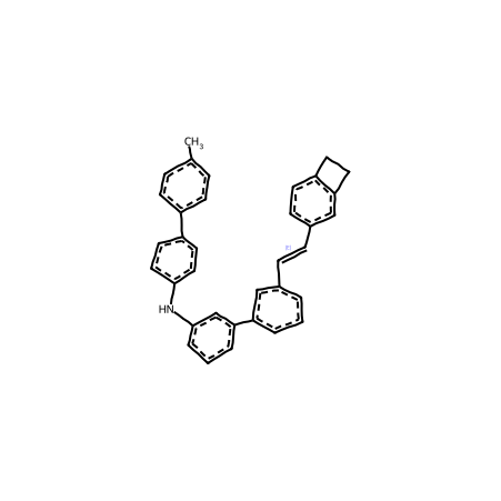 Cc1ccc(-c2ccc(Nc3cccc(-c4cccc(/C=C/c5ccc6c(c5)CC6)c4)c3)cc2)cc1